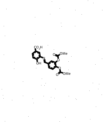 COC(=O)Oc1ccc(/C=N/c2cc(C(=O)O)ccc2O)cc1OC(=O)OC